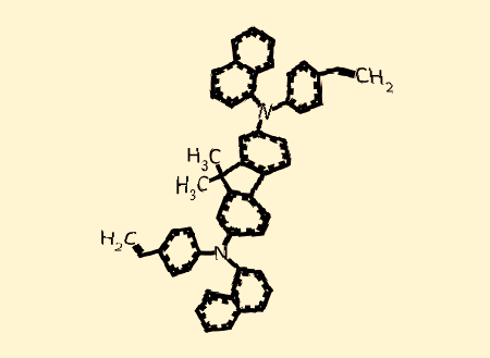 C=Cc1ccc(N(c2ccc3c(c2)C(C)(C)c2cc(N(c4ccc(C=C)cc4)c4cccc5ccccc45)ccc2-3)c2cccc3ccccc23)cc1